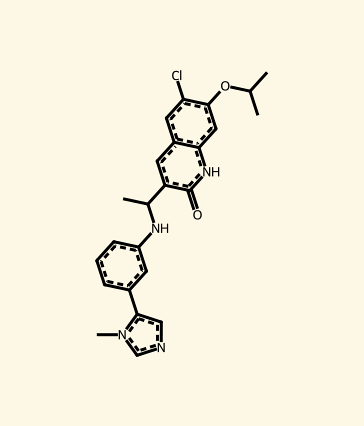 CC(C)Oc1cc2[nH]c(=O)c(C(C)Nc3cccc(-c4cncn4C)c3)cc2cc1Cl